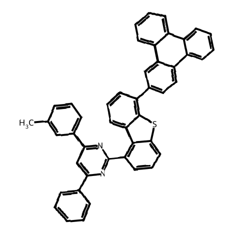 Cc1cccc(-c2cc(-c3ccccc3)nc(-c3cccc4sc5c(-c6ccc7c8ccccc8c8ccccc8c7c6)cccc5c34)n2)c1